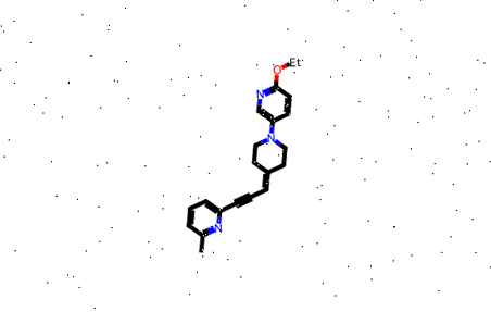 CCOc1ccc(N2CCC(=CC#Cc3cccc(C)n3)CC2)cn1